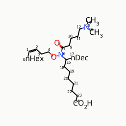 CCCCCC/C=C\CCON(C(=O)CCCCN(C)C)C(CCCCCCCCCC)CCCCCCC(=O)O